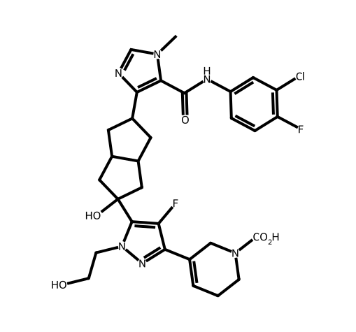 Cn1cnc(C2CC3CC(O)(c4c(F)c(C5=CCCN(C(=O)O)C5)nn4CCO)CC3C2)c1C(=O)Nc1ccc(F)c(Cl)c1